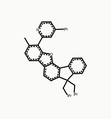 Cc1ccc2c(oc3c4c(ccc32)C(CC(C)C)(CC(C)C)c2ccccc2-4)c1-c1cc(C(C)C)ccn1